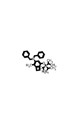 Cc1c(N(Cc2ccccc2)Cc2ccccc2)cc(O[Si](C(C)C)(C(C)C)C(C)C)c2c1CC2